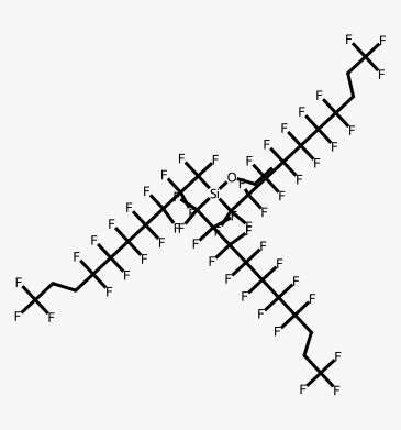 CCO[Si](C(F)(F)C(F)(F)C(F)(F)C(F)(F)C(F)(F)C(F)(F)C(F)(F)CCC(F)(F)F)(C(F)(F)C(F)(F)C(F)(F)C(F)(F)C(F)(F)C(F)(F)C(F)(F)CCC(F)(F)F)C(F)(F)C(F)(F)C(F)(F)C(F)(F)C(F)(F)C(F)(F)C(F)(F)CCC(F)(F)F